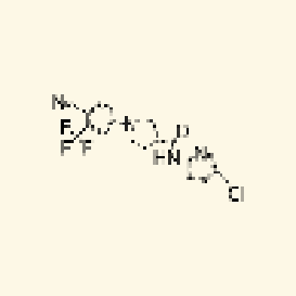 N#Cc1ccc(N2CCC(C(=O)Nc3ccc(CCl)cn3)CC2)cc1C(F)(F)F